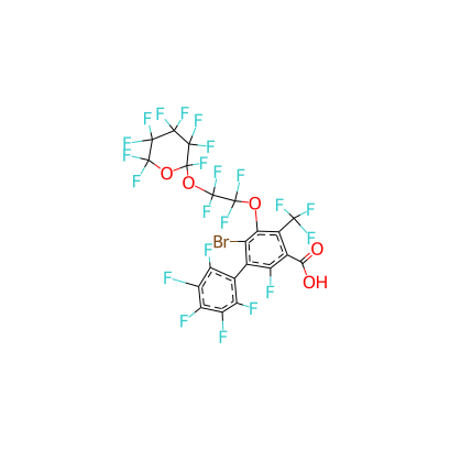 O=C(O)c1c(F)c(-c2c(F)c(F)c(F)c(F)c2F)c(Br)c(OC(F)(F)C(F)(F)OC2(F)OC(F)(F)C(F)(F)C(F)(F)C2(F)F)c1C(F)(F)F